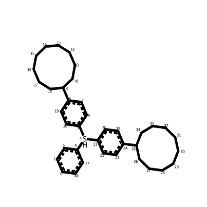 c1ccc([SH](c2ccc(C3CCCCCCCCC3)cc2)c2ccc(C3CCCCCCCCC3)cc2)cc1